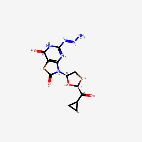 NN=Nc1nc2c(sc(=O)n2[C@H]2CS[C@@H](C(=O)C3CC3)O2)c(=O)[nH]1